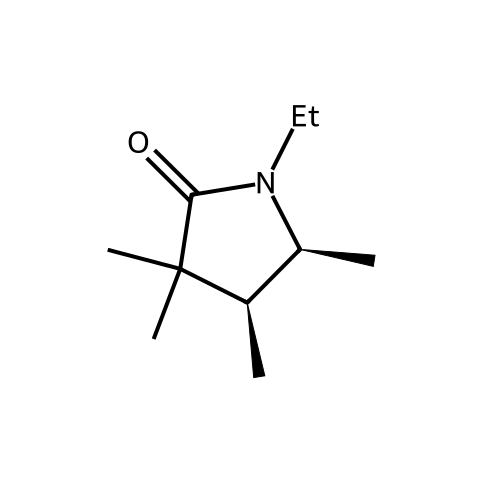 CCN1C(=O)C(C)(C)[C@H](C)[C@@H]1C